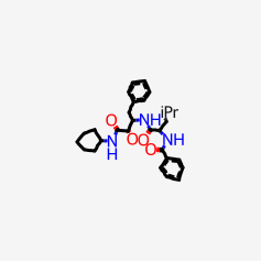 CC(C)CC(NC(=O)c1ccccc1)C(=O)NC(Cc1ccccc1)C(=O)C(=O)NC1CCCCC1